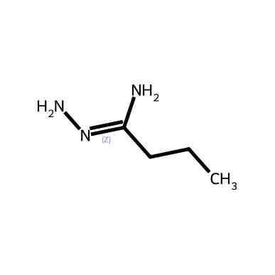 CCC/C(N)=N/N